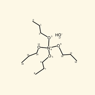 CCCO[N+](OCCC)(OCCC)OCCC.[OH-]